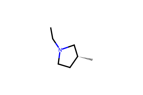 CCN1CC[C@@H](C)C1